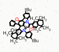 CC(C)(C)c1ccc(N2B3c4oc5cc6c(cc5c4-n4c5ccc(C(C)(C)C)cc5c5c7oc8ccccc8c7c(c3c54)-c3cc4c(cc32)C(C)(C)CCC4(C)C)C(C)(C)CCC6(C)C)cc1